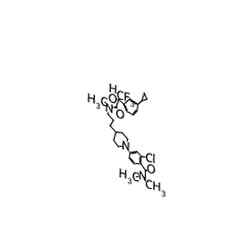 CN(C)C(=O)c1ccc(N2CCC(CCCN(C)C(=O)C(O)(c3cccc(C4CC4)c3)C(F)(F)F)CC2)cc1Cl